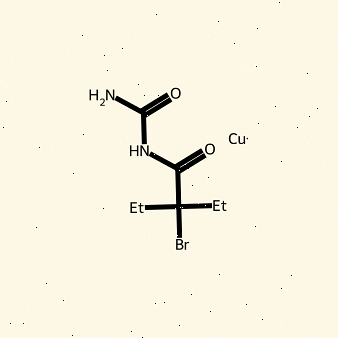 CCC(Br)(CC)C(=O)NC(N)=O.[Cu]